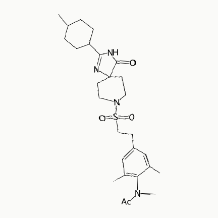 CC(=O)N(C)c1c(C)cc(CCS(=O)(=O)N2CCC3(CC2)N=C(C2CCC(C)CC2)NC3=O)cc1C